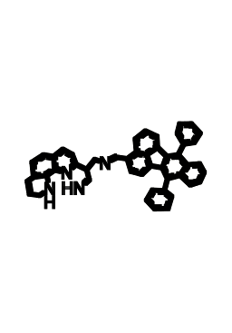 N=CC(C/N=C/c1ccc2c3c(cccc13)-c1c-2c(-c2ccccc2)c2ccccc2c1-c1ccccc1)c1ccc2ccc3c(c2n1)NCC=C3